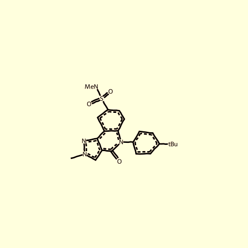 CNS(=O)(=O)c1ccc2c(c1)c1nn(C)cc1c(=O)n2-c1ccc(C(C)(C)C)cc1